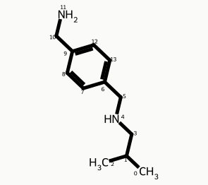 CC(C)CNCc1ccc(CN)cc1